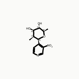 C[C@H]1[C@@H](O)[C@H](O)[C@@H](C)O[C@H]1c1ccncc1[N+](=O)[O-]